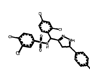 O=S(=O)(NC(C1=NNC(c2ccc(Cl)cc2)C1)c1ccc(Cl)cc1Cl)c1ccc(Cl)c(Cl)c1